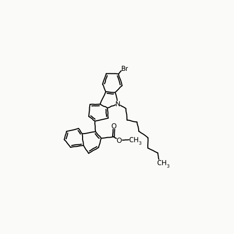 CCCCCCCCn1c2cc(Br)ccc2c2ccc(-c3c(C(=O)OC)ccc4ccccc34)cc21